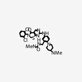 CNC(=O)NCc1cc(Nc2ncc3c(n2)SCN(c2c(Cl)cccc2Cl)C3=O)ccc1N1CCC(NC)CC1